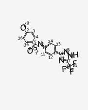 COc1ccc(S(C)(=O)=Nc2ccc(-c3n[nH]c(C(F)(F)F)n3)cc2)cc1